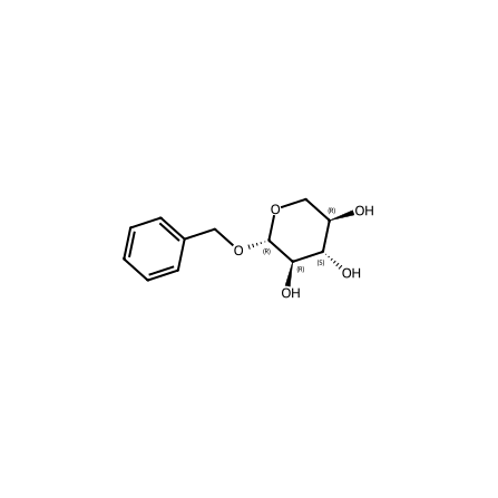 O[C@@H]1[C@@H](O)[C@H](OCc2ccccc2)OC[C@H]1O